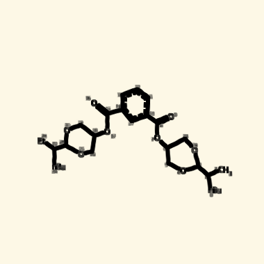 CCCCC(C)C1OCC(OC(=O)c2cccc(C(=O)OC3COC(C(CC)CCCC)OC3)c2)CO1